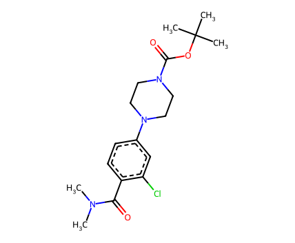 CN(C)C(=O)c1ccc(N2CCN(C(=O)OC(C)(C)C)CC2)cc1Cl